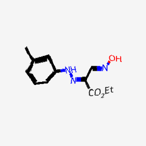 CCOC(=O)C(/C=N/O)=N/Nc1cccc(C)c1